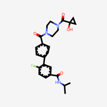 CC(C)NC(=O)c1ccc(F)c(-c2ccc(C(=O)N3CCN(C(=O)C4(O)CC4)CC3)cc2)c1